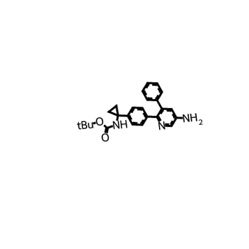 CC(C)(C)OC(=O)NC1(c2ccc(-c3ncc(N)cc3-c3ccccc3)cc2)CC1